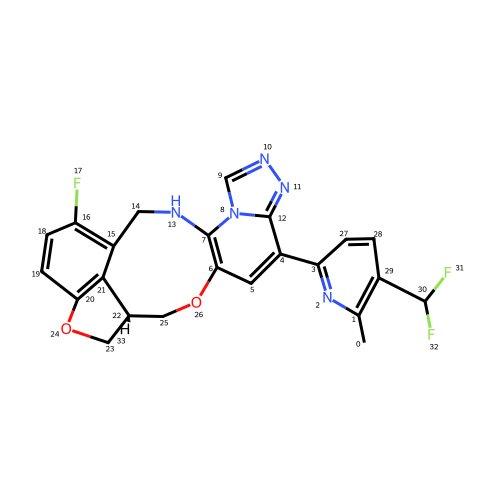 Cc1nc(-c2cc3c(n4cnnc24)NCc2c(F)ccc4c2[C@@H](CO4)CO3)ccc1C(F)F